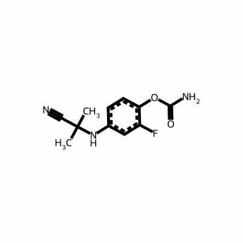 CC(C)(C#N)Nc1ccc(OC(N)=O)c(F)c1